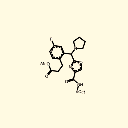 CCCCCCCCNC(=O)c1coc(C(c2cc(F)ccc2CCC(=O)OC)N2CCCC2)n1